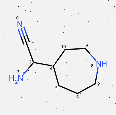 N#CC(N)C1CCCNCC1